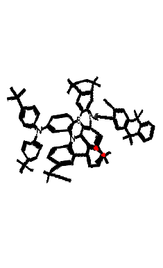 Cc1cc2c(cc1N1c3cc4c(cc3B3c5ccc(N(c6ccc(C(C)(C)C)cc6)c6ccc(C(C)(C)C)cc6)cc5N(c5ccc(C(C)(C)C)cc5-c5ccccc5)c5cc(C(C)(C)C)cc1c53)C(C)(C)CC4(C)C)C(C)(C)c1ccccc1C2(C)C